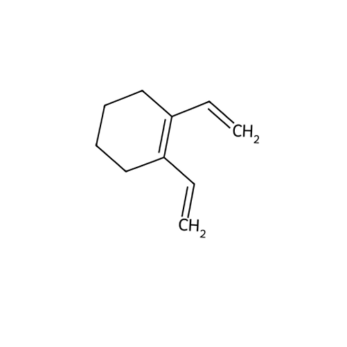 C=CC1=C(C=C)CCCC1